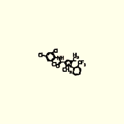 Cc1cc(C(=O)Nc2c(Cl)cc(Cl)cc2Cl)c(C)n1-c1ccccc1C(F)(F)F